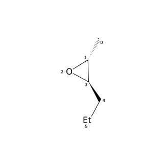 [CH2][C@H]1O[C@@H]1CCC